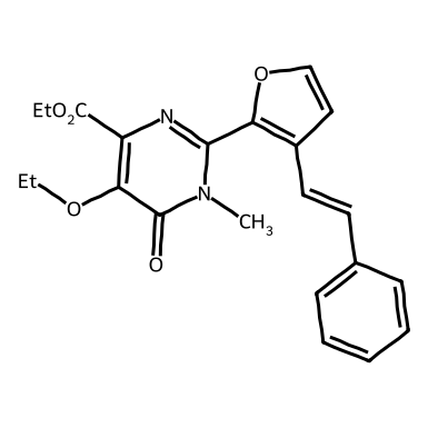 CCOC(=O)c1nc(-c2occc2C=Cc2ccccc2)n(C)c(=O)c1OCC